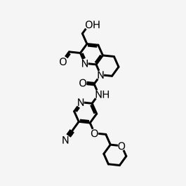 N#Cc1cnc(NC(=O)N2CCCc3cc(CO)c(C=O)nc32)cc1OCC1CCCCO1